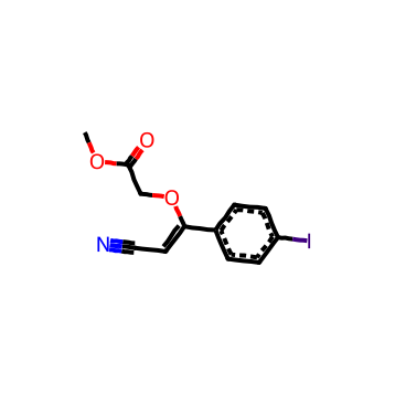 COC(=O)CO/C(=C\C#N)c1ccc(I)cc1